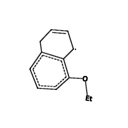 CCOc1cccc2c1[CH]C=CC2